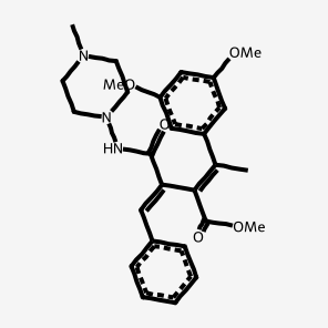 COC(=O)C(/C(=C\c1ccccc1)C(=O)NN1CCN(C)CC1)=C(\C)c1cc(OC)cc(OC)c1